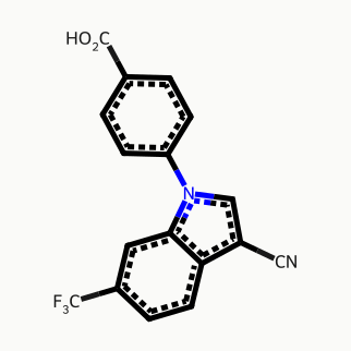 N#Cc1cn(-c2ccc(C(=O)O)cc2)c2cc(C(F)(F)F)ccc12